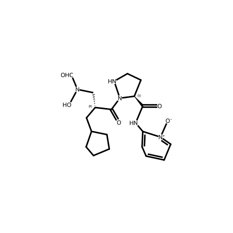 O=CN(O)C[C@@H](CC1CCCC1)C(=O)N1NCC[C@H]1C(=O)Nc1cccc[n+]1[O-]